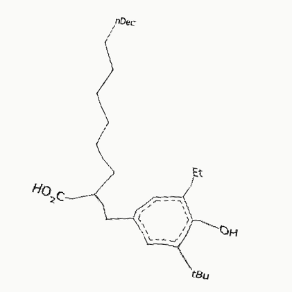 CCCCCCCCCCCCCCCCC(Cc1cc(CC)c(O)c(C(C)(C)C)c1)C(=O)O